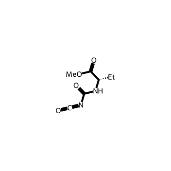 CC[C@H](NC(=O)N=C=O)C(=O)OC